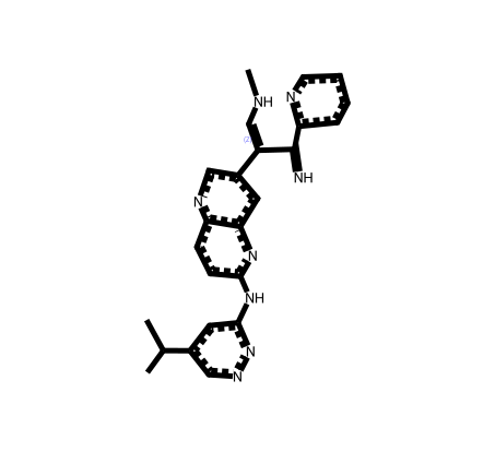 CN/C=C(\C(=N)c1ccccn1)c1cnc2ccc(Nc3cc(C(C)C)cnn3)nc2c1